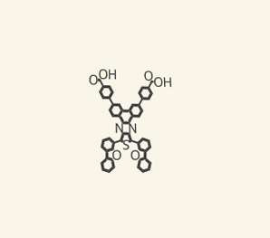 O=C(O)c1ccc(-c2ccc3c(c2)c2cc(-c4ccc(C(=O)O)cc4)ccc2c2nc4c(-c5cccc6c5oc5ccccc56)sc(-c5cccc6c5oc5ccccc56)c4nc32)cc1